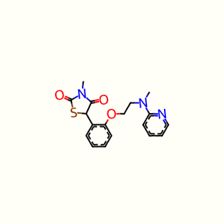 CN1C(=O)SC(c2ccccc2OCCN(C)c2ccccn2)C1=O